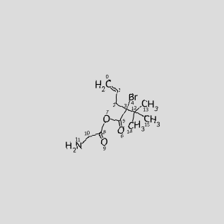 C=CCC(Br)(C(=O)OC(=O)CN)C(C)(C)C